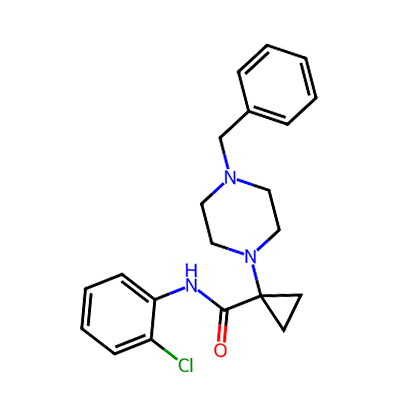 O=C(Nc1ccccc1Cl)C1(N2CCN(Cc3ccccc3)CC2)CC1